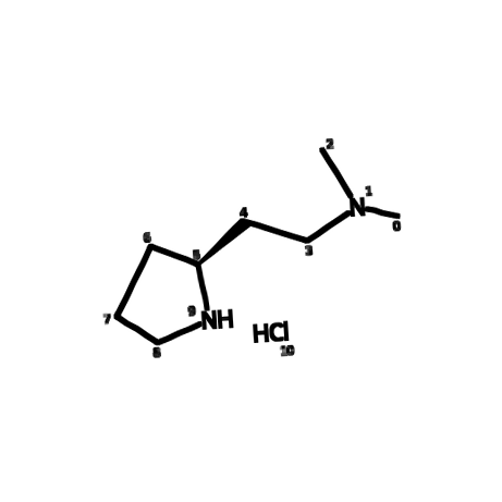 CN(C)CC[C@@H]1CCCN1.Cl